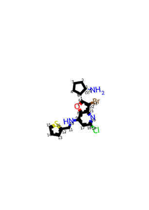 N[C@H]1CCC[C@H]1c1oc2c(NCc3cccs3)cc(Cl)nc2c1Br